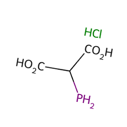 Cl.O=C(O)C(P)C(=O)O